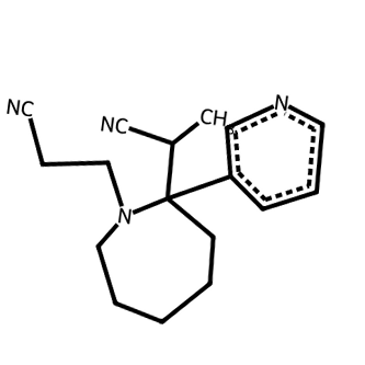 CC(C#N)C1(c2cccnc2)CCCCCN1CCC#N